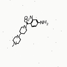 CN1CCN(C2CCN(C(=O)c3ccc(N)cc3[N+](=O)[O-])CC2)CC1